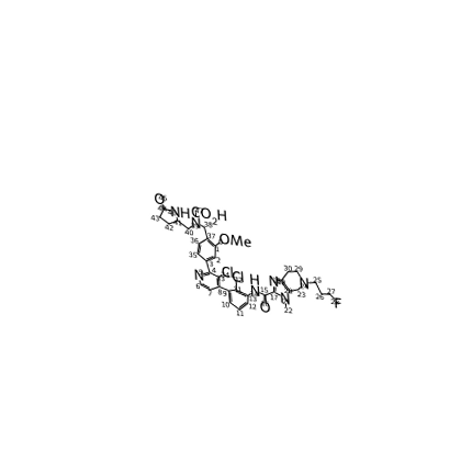 COc1cc(-c2nccc(-c3cccc(NC(=O)c4nc5c(n4C)CN(CCCF)CC5)c3Cl)c2Cl)ccc1CN(CC1CCC(=O)N1)C(=O)O